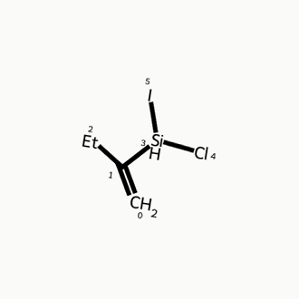 C=C(CC)[SiH](Cl)I